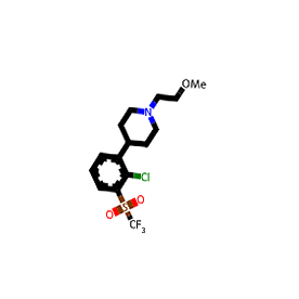 COCCN1CCC(c2cccc(S(=O)(=O)C(F)(F)F)c2Cl)CC1